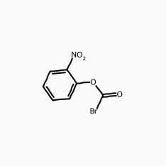 O=C(Br)Oc1ccccc1[N+](=O)[O-]